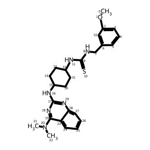 COc1cccc(CNC(=S)NC2CCC(Nc3nc(N(C)C)c4ccccc4n3)CC2)c1